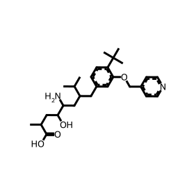 CC(CC(O)C(N)CC(Cc1ccc(C(C)(C)C)c(OCc2ccncc2)c1)C(C)C)C(=O)O